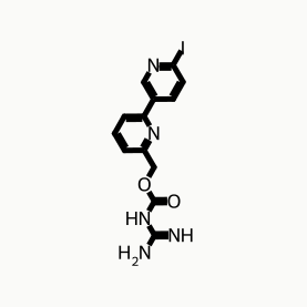 N=C(N)NC(=O)OCc1cccc(-c2ccc(I)nc2)n1